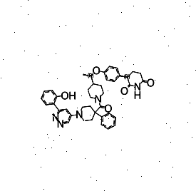 C[C@@H](Oc1ccc([C@H]2CCC(=O)NC2=O)cc1)C1CCN(C(=O)C2(c3ccccc3)CCN(c3cnnc(-c4ccccc4O)c3)CC2)CC1